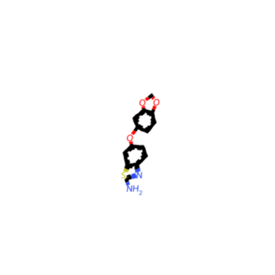 Nc1nc2ccc(Oc3ccc4c(c3)OCO4)cc2s1